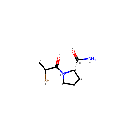 CC(S)C(=O)N1CCC[C@H]1C(N)=O